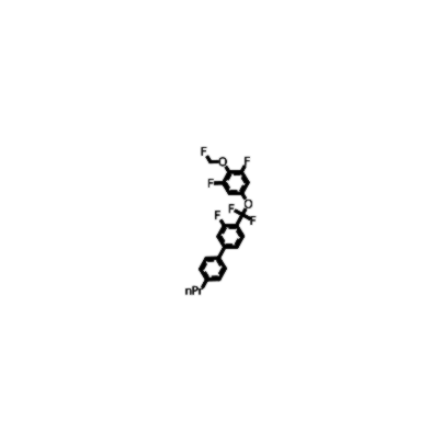 CCCc1ccc(-c2ccc(C(F)(F)Oc3cc(F)c(OCF)c(F)c3)c(F)c2)cc1